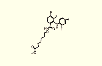 COC(=O)CCCCCCONC(=O)c1ccc(F)c(F)c1Nc1ccc(I)cc1F